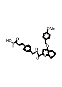 COc1ccc(COc2cc(C(=O)NCc3ccc(/C=C/C(=O)NO)cc3)nc3ccccc23)cc1